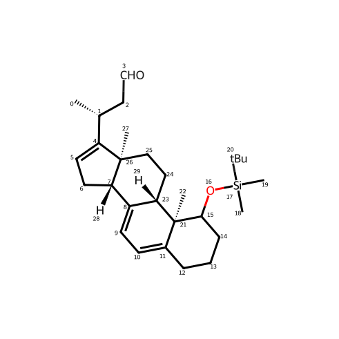 C[C@H](CC=O)C1=CC[C@H]2C3=CC=C4CCCC(O[Si](C)(C)C(C)(C)C)[C@]4(C)[C@H]3CC[C@]12C